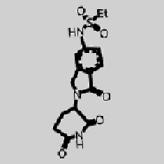 CCS(=O)(=O)Nc1ccc2c(c1)CN(C1CCC(=O)NC1=O)C2=O